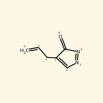 C=CCC1=CN=NC1=O